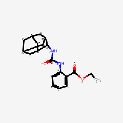 CCOC(=O)c1ccccc1NC(=O)NC1C2CC3CC(C2)CC1C3